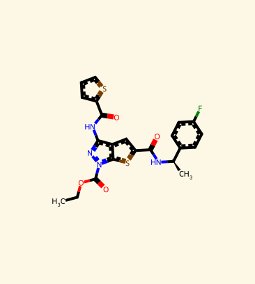 CCOC(=O)n1nc(NC(=O)c2cccs2)c2cc(C(=O)N[C@H](C)c3ccc(F)cc3)sc21